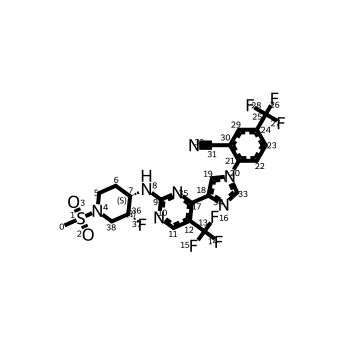 CS(=O)(=O)N1CC[C@H](Nc2ncc(C(F)(F)F)c(-c3cn(-c4ccc(C(F)(F)F)cc4C#N)cn3)n2)[C@H](F)C1